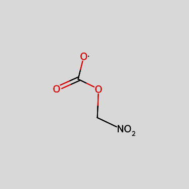 [O]C(=O)OC[N+](=O)[O-]